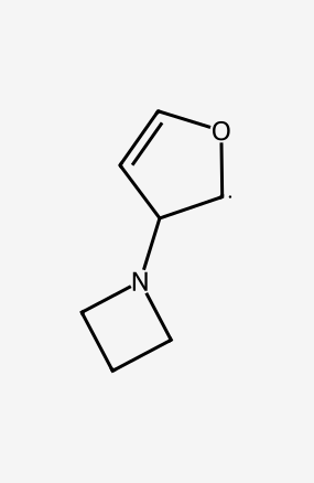 [CH]1OC=CC1N1CCC1